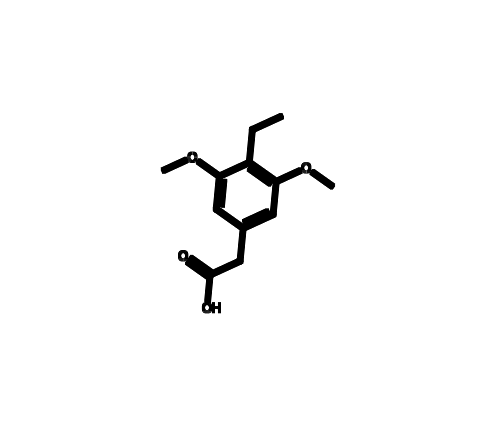 CCc1c(OC)cc(CC(=O)O)cc1OC